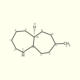 CC1CCC2NCCCC[C@H]2CC1